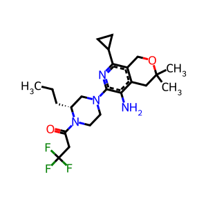 CCC[C@@H]1CN(c2nc(C3CC3)c3c(c2N)CC(C)(C)OC3)CCN1C(=O)CC(F)(F)F